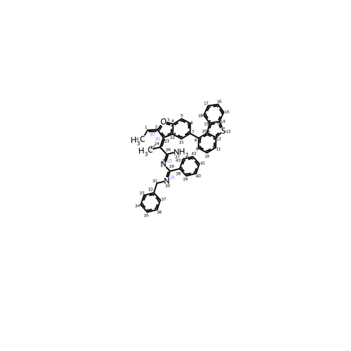 C/C=c1/oc2ccc(-c3cccc4sc5ccccc5c34)cc2/c1=C(C)\C(N)=N\C(=N/Cc1ccccc1)c1ccccc1